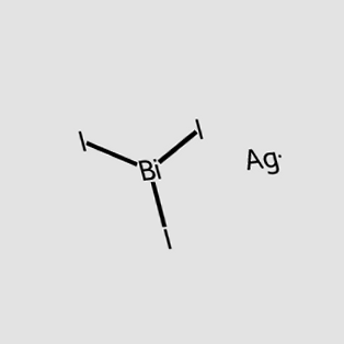 [Ag].[I][Bi]([I])[I]